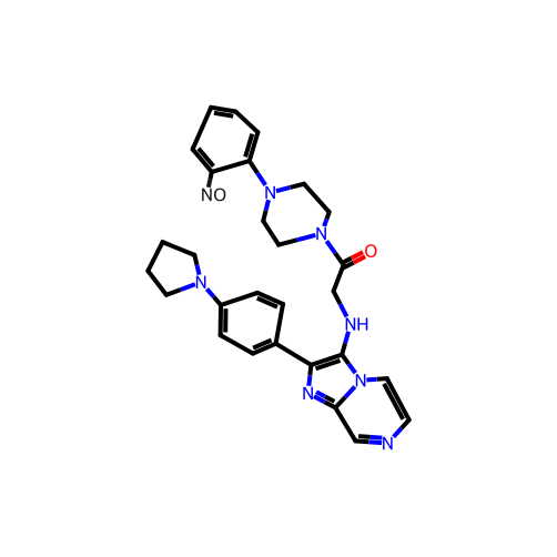 O=Nc1ccccc1N1CCN(C(=O)CNc2c(-c3ccc(N4CCCC4)cc3)nc3cnccn23)CC1